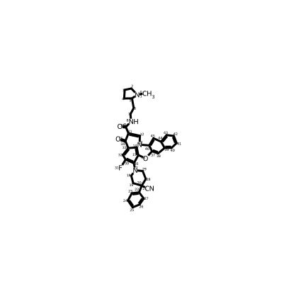 CN1CCCC1CCNC(=O)c1cn2c3c(c(N4CCC(C#N)(c5ccccc5)CC4)c(F)cc3c1=O)Oc1cc3ccccc3cc1-2